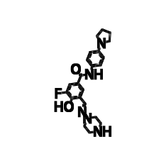 O=C(Nc1ccc(N2CCCC2)cc1)c1cc(F)c(O)c(/C=N/N2CCNCC2)c1